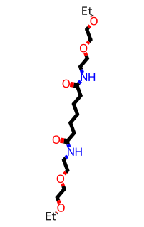 CCOCCOCCNC(=O)CCCCCC(=O)NCCOCCOCC